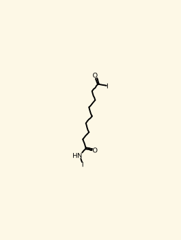 O=C(I)CCCCCCCC(=O)NI